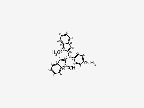 Cc1ccc(N(c2cc3ccccc3n2C)c2cc3ccccc3n2C)cc1